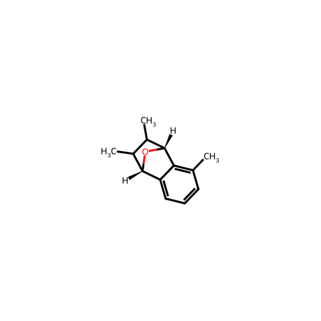 Cc1cccc2c1[C@@H]1O[C@H]2C(C)C1C